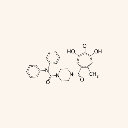 Cc1cc(O)c(=O)c(O)cc1C(=O)N1CCN(C(=O)N(c2ccccc2)c2ccccc2)CC1